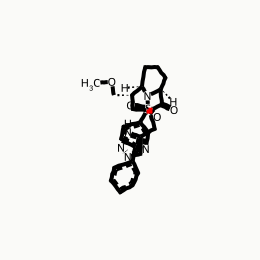 COC[C@H]1CN(Cc2cnn[nH]2)C(=O)[C@@H]2CCC[C@H]1N2S(=O)(=O)c1ccc(-c2ccccc2)nc1